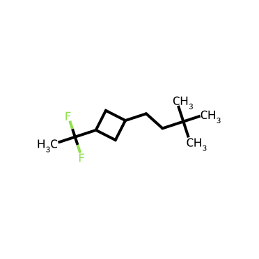 CC(C)(C)CCC1CC(C(C)(F)F)C1